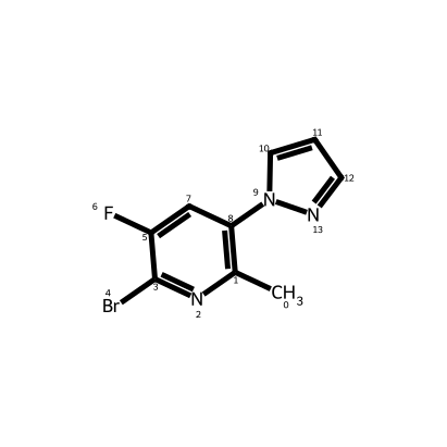 Cc1nc(Br)c(F)cc1-n1cccn1